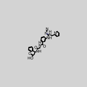 N#C/N=C(\NCc1ccccn1)Nc1cccc(C(=O)NCC(=O)NC(CC(=O)O)c2ccccc2)c1